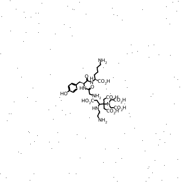 NCCCC[C@H](NC(=O)[C@H](Cc1ccc(O)cc1)NC(=O)CN)C(=O)O.NCCNC(CC(=O)O)C(CC(=O)O)(CC(=O)O)N(CC(=O)O)CC(=O)O